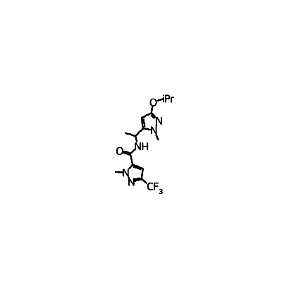 CC(C)Oc1cc(C(C)NC(=O)c2cc(C(F)(F)F)nn2C)n(C)n1